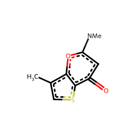 CNc1cc(=O)c2scc(C)c2o1